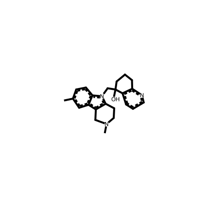 Cc1ccc2c(c1)c1c(n2CC2(O)CCCc3ncccc32)CCN(C)C1